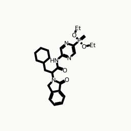 C=P(OCC)(OCC)c1cnc(NC(=O)C(CC2CCCCC2)N2Cc3ccccc3C2=O)cn1